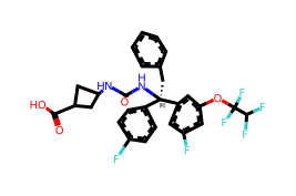 O=C(NC1CC(C(=O)O)C1)N[C@](Cc1ccccc1)(c1ccc(F)cc1)c1cc(F)cc(OC(F)(F)C(F)F)c1